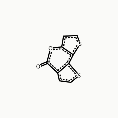 O=c1oc2ccsc2c2sccc12